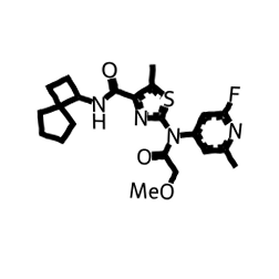 COCC(=O)N(c1cc(C)nc(F)c1)c1nc(C(=O)NC2CCC23CCCC3)c(C)s1